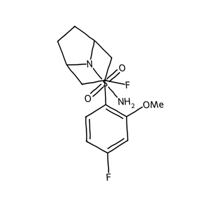 COc1cc(F)ccc1C1(F)CC2CCC(C1)N2S(N)(=O)=O